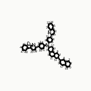 c1ccc2cc(-c3ccc4c(ccc5cc(N(c6ccc(-c7ccc8ccccc8n7)cc6)c6ccc(-c7ccc8c(n7)oc7ccccc78)cc6)ccc54)c3)ccc2c1